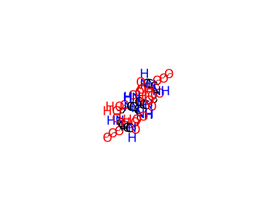 COCCOCCOCCN1CCNC(=O)c2ccc(c(O)c2O)C(=O)NCCN(CCN2CCNC(=O)c3ccc(c(O)c3O)C(=O)NCCN(CCOCCOCCOC)CCNC(=O)c3ccc(c(O)c3O)C(=O)NC(C)C2)CCNC(=O)c2ccc(c(O)c2O)C(=O)NCC1